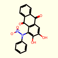 O=C1c2ccccc2C(=O)c2c1cc(O)c(O)c2N(c1ccccc1)[N+](=O)[O-]